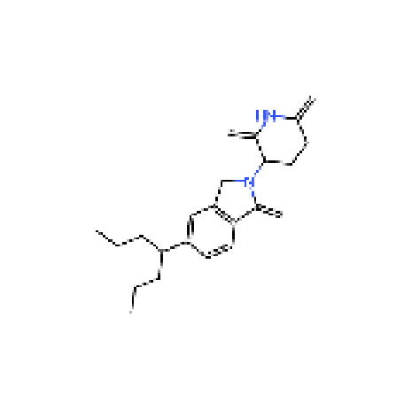 C=C1CCC(N2Cc3cc(C(CCC)CCC)ccc3C2=C)C(=C)N1